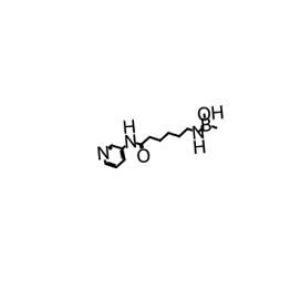 CB(O)NCCCCCC(=O)Nc1cccnc1